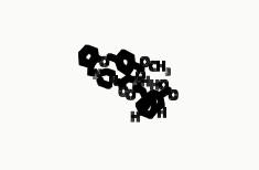 COC(=O)c1ccc(COc2ccccc2CN2CCN(C(=O)CNC(=O)CC34C[C@H]5C[C@@H](C3)CC(C(=O)O)(C5)C4)CC2)cc1